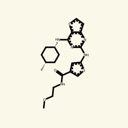 COCCNC(=O)c1csc(Nc2nc(N[C@H]3CC[C@@H](C)CC3)c3sccc3n2)c1